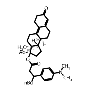 CCCCC(CC(=O)O[C@]1(C(C)=O)CC[C@H]2[C@@H]3CCC4=CC(=O)CCC4=C3CC[C@@]21C)c1ccc(N(C)C)cc1